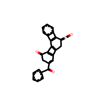 O=C=C1CC2=C(C3=C2[C]=C(C(=O)c2[c]cccc2)CC3=O)C2=C1c1ccccc12